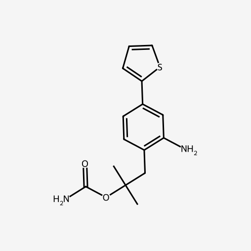 CC(C)(Cc1ccc(-c2cccs2)cc1N)OC(N)=O